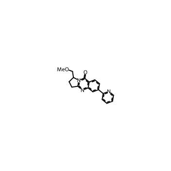 COCC1CCc2nc3cc(-c4ccccn4)ccc3c(=O)n21